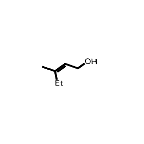 CC/C(C)=C\CO